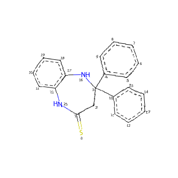 S=C1CC(c2ccccc2)(c2ccccc2)Nc2ccccc2N1